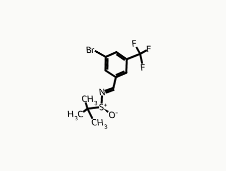 CC(C)(C)[S@+]([O-])/N=C/c1cc(Br)cc(C(F)(F)F)c1